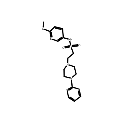 COc1ccc(NS(=O)(=O)CCN2CCN(c3ncccn3)CC2)cn1